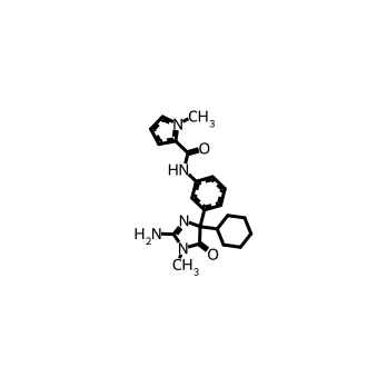 CN1C(=O)C(c2cccc(NC(=O)c3cccn3C)c2)(C2CCCCC2)N=C1N